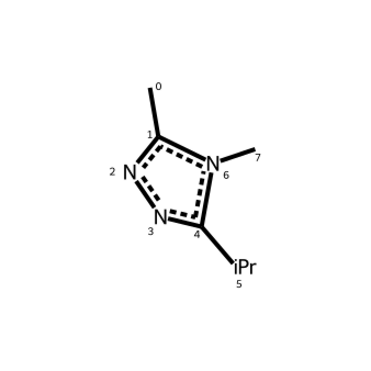 Cc1nnc(C(C)C)n1C